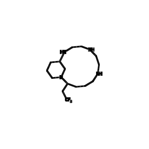 FC(F)(F)CC1CCCNCCNCCNC2CCCN1C2